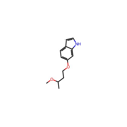 COC(C)CCOc1ccc2[c]c[nH]c2c1